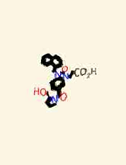 O=C(O)CCn1c(=O)n(Cc2cccc3ccccc23)c2ccc(C(=O)N3CCC[C@H]3CO)cc21